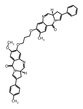 COc1cc2c(cc1OCCCOc1cc3c(cc1C)C(=O)N1C=C(c4ccccc4)C[C@H]1C=N3)N=C[C@@H]1CC(c3ccc(C)cc3)=CN1C2=O